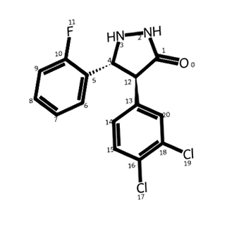 O=C1NN[C@@H](c2ccccc2F)[C@@H]1c1ccc(Cl)c(Cl)c1